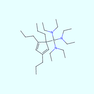 CCCC1=C[C](CCC)([Ti]([N](CC)CC)([N](CC)CC)[N](CC)CC)C(CCC)=C1